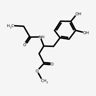 CCC(=O)NC(CC(=O)OC)Cc1ccc(O)c(O)c1